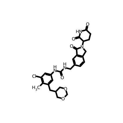 Cc1c(Cl)cc(NC(=O)NCc2ccc3c(c2)C(=O)N(C2CCC(=O)NC2=O)C3)cc1CC1COCOC1